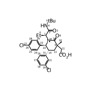 CC[C@@H](C(=O)NC(C)(C)C)N1C(=O)[C@](C)(CC(=O)O)C[C@H](c2cccc(Cl)c2)[C@H]1c1ccc(Cl)cc1